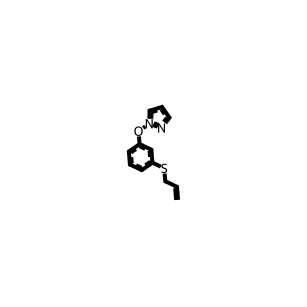 C=CCSc1cccc(On2cccn2)c1